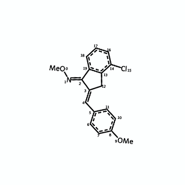 CO/N=C1/C(=C/c2ccc(OC)cc2)Cc2c(Cl)cccc21